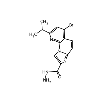 CC(C)c1cc(Br)c2ccc3nc(C(=O)NN)cn3c2n1